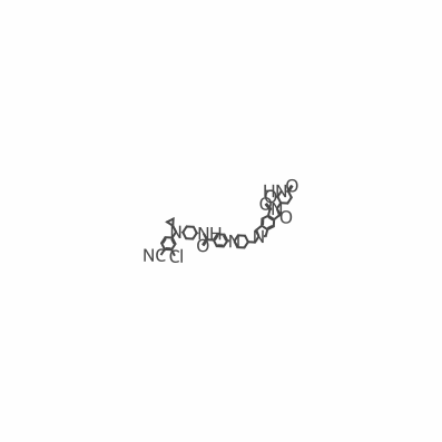 N#Cc1ccc(N(C2CC2)[C@H]2CC[C@H](NC(=O)c3ccc(N4CCC(CN5Cc6cc7c(cc6C5)C(=O)N(C5CCC(=O)NC5=O)C7=O)CC4)cc3)CC2)cc1Cl